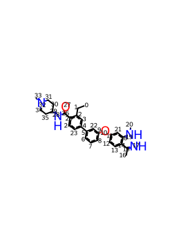 CCc1cc(-c2cccc(Oc3ccc(C(C)=N)c(NC)c3)c2)ccc1C(=O)NC1CCN(C)CC1